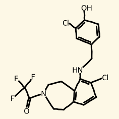 O=C(N1CCc2ccc(Cl)c(NCc3ccc(O)c(Cl)c3)c2CC1)C(F)(F)F